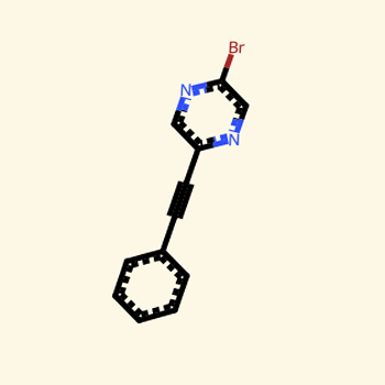 Brc1cnc(C#Cc2ccccc2)cn1